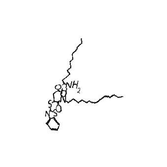 CCCCCCCCCCCCNC(=O)C(CC(=O)OC(N)CCCCCCCCCCC)Sc1nc2ccccc2s1